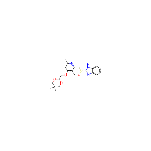 CC1=C(OCC2OCC(C)(C)CO2)CC(C)N=C1C[S+]([O-])c1nc2ccccc2[nH]1